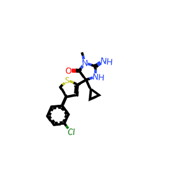 CN1C(=N)NC(C2=CC(c3cccc(Cl)c3)CS2)(C2CC2)C1=O